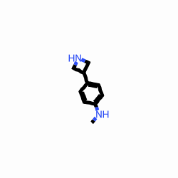 CNc1ccc(C2CNC2)cc1